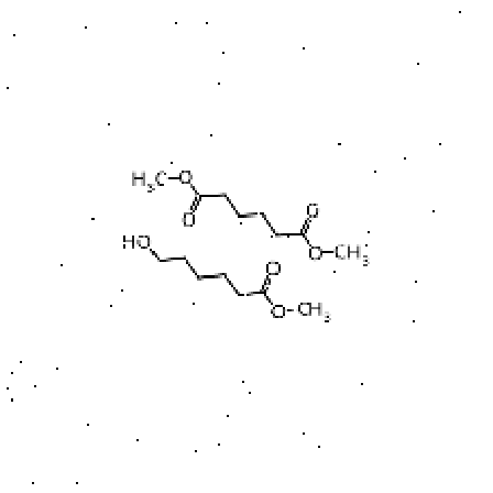 COC(=O)CCCCC(=O)OC.COC(=O)CCCCCO